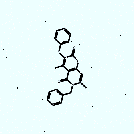 Cc1c(Sc2ccccc2)c(=O)oc2cc(C)n(Cc3ccccc3)c(=O)c12